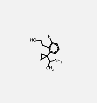 CC(N)C1(c2cccc(F)c2CCO)CC1